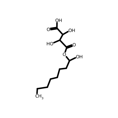 CCCCCCCC(O)OC(=O)C(O)C(O)C(=O)O